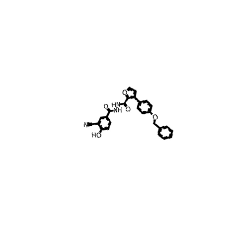 N#Cc1cc(C(=O)NNC(=O)c2occc2-c2ccc(OCc3ccccc3)cc2)ccc1O